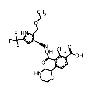 CCOCc1[nH]c(C(F)(F)F)cc1C#N.Cc1c(C(=O)O)ccc(C2CNCCO2)c1C(=O)O